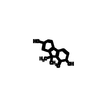 CC1(C)C2=C(C=CC(O)C2=O)c2ccc(O)cc21